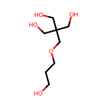 OCCCOCC(CO)(CO)CO